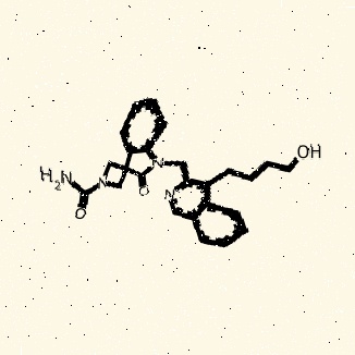 NC(=O)N1CC2(C1)C(=O)N(Cc1ncc3ccccc3c1CCCCO)c1ccccc12